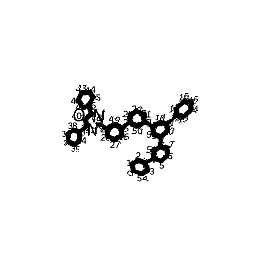 c1ccc(-c2cccc(-c3cc(-c4ccccc4)cc(-c4cccc(-c5cccc(-c6nc(-c7ccccc7)c7oc8ccccc8c7n6)c5)c4)c3)c2)cc1